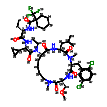 CC[C@H](NC(=O)C1(C(F)(F)F)CCCCC1)C(=O)N[C@H](C(=O)N(CC)[C@H]1CCCCN(C)C(=O)[C@@H](COC)NC(=O)[C@H](Cc2cc(Cl)ccc2Cl)N(C)C(=O)[C@H](CC(C)C)NC1=O)C1CC1